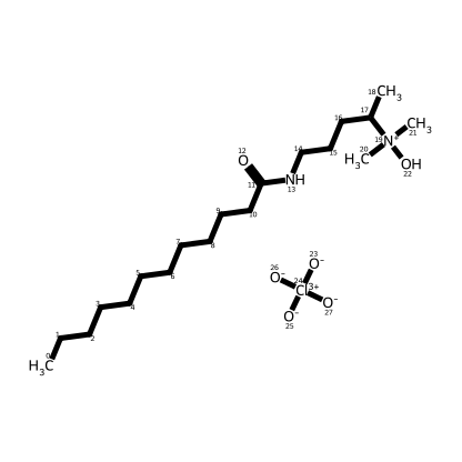 CCCCCCCCCCCC(=O)NCCCC(C)[N+](C)(C)O.[O-][Cl+3]([O-])([O-])[O-]